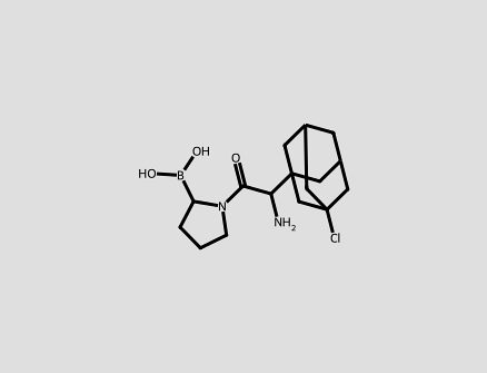 NC(C(=O)N1CCCC1B(O)O)C12CC3CC(CC(Cl)(C3)C1)C2